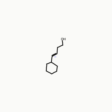 OCC/C=C/C1CCCCC1